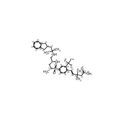 CN(C[C@H](O)CNC(C)(C)CC1Cc2ccccc2C1)S(=O)(=O)c1ccc(/C=C/C(C)(C)CC(=O)O)c(C(F)(F)F)c1